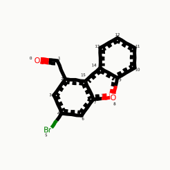 O=Cc1cc(Br)cc2oc3ccccc3c12